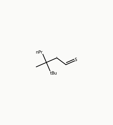 CCCC(C)([CH]C=S)C(C)(C)C